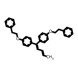 CC=CC=C(c1ccc(OCCc2ccccc2)cc1)c1ccc(OCCc2ccccc2)cc1